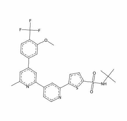 COc1cc(-c2cc(C)nc(-c3ccnc(-c4ccc(S(=O)(=O)NC(C)(C)C)s4)c3)c2)ccc1C(F)(F)F